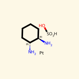 N[C@@H]1CCCC[C@H]1N.O=S(=O)(O)O.[Pt]